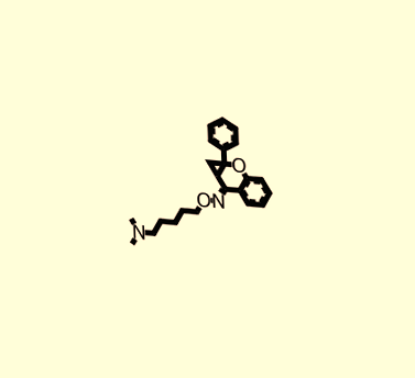 CN(C)CCCCCON=C1c2ccccc2OC2(c3ccccc3)CC12